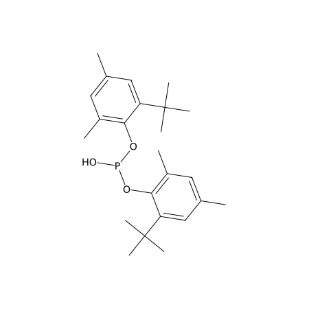 Cc1cc(C)c(OP(O)Oc2c(C)cc(C)cc2C(C)(C)C)c(C(C)(C)C)c1